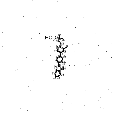 Cc1cc(-c2ccc(-c3nc4ccccc4[nH]3)c(F)c2)cnc1OCC(C)(C)C(=O)O